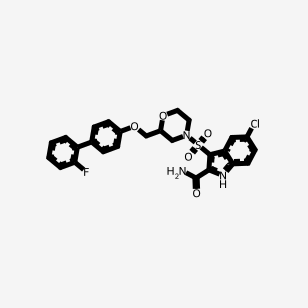 NC(=O)c1[nH]c2ccc(Cl)cc2c1S(=O)(=O)N1CCOC(COc2ccc(-c3ccccc3F)cc2)C1